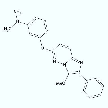 COc1c(-c2ccccc2)nc2ccc(Oc3cccc(N(C)C)c3)nn12